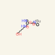 CC(C)(C)N1CC(COc2cc(C(=O)NCCCCCCCCO)cc3[nH]ccc23)OC1c1ccccc1